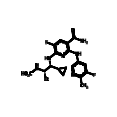 CC[C@H](NC(=O)O)[C@H](Nc1nc(Nc2cnc(C)c(F)c2)c(C(N)=O)cc1F)C1CC1